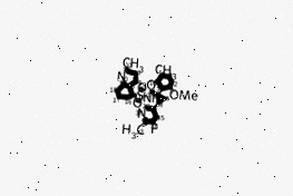 COc1ccc(C)cc1[C@@]1(C(=O)NS(=O)(=O)c2cccc3nc(C)ccc23)C[C@H]1c1cnc(C)c(F)c1